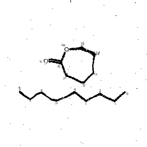 CCCCCCCCC.O=C1CCCCCO1